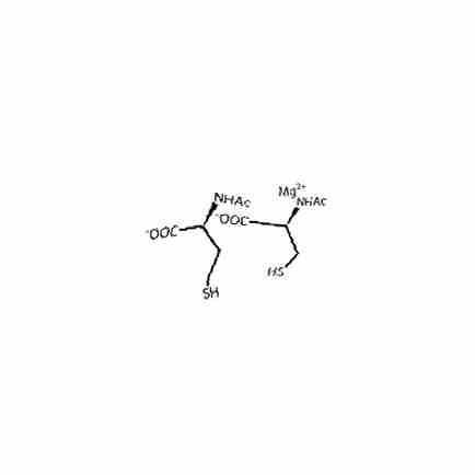 CC(=O)N[C@@H](CS)C(=O)[O-].CC(=O)N[C@@H](CS)C(=O)[O-].[Mg+2]